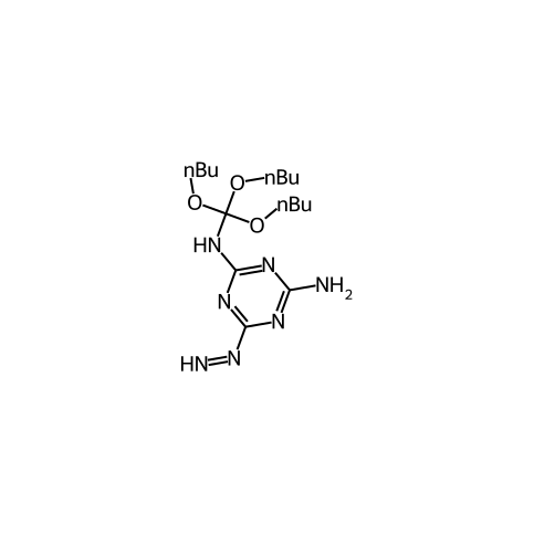 CCCCOC(Nc1nc(N)nc(N=N)n1)(OCCCC)OCCCC